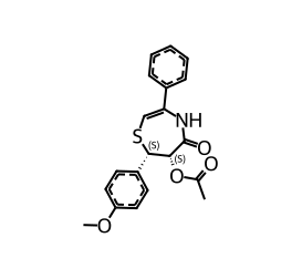 COc1ccc([C@@H]2SC=C(c3ccccc3)NC(=O)[C@@H]2OC(C)=O)cc1